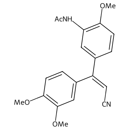 COc1ccc(/C(=C/C#N)c2ccc(OC)c(OC)c2)cc1NC(C)=O